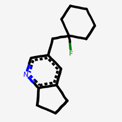 FC1(Cc2cnc3c(c2)CCC3)CCCCC1